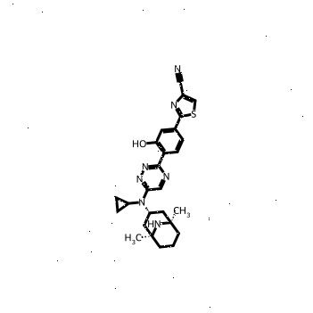 C[C@]12CCC[C@](C)(C[C@@H](N(c3cnc(-c4ccc(-c5nc(C#N)cs5)cc4O)nn3)C3CC3)C1)N2